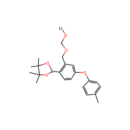 CCOCOCc1cc(Oc2ccc(C)cc2)ccc1B1OC(C)(C)C(C)(C)O1